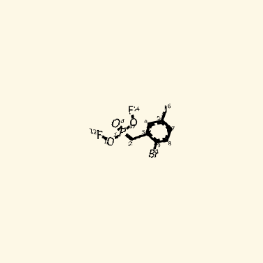 O=P(Cc1cc(I)ccc1Br)(OF)OF